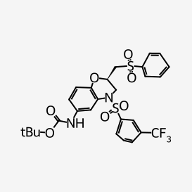 CC(C)(C)OC(=O)Nc1ccc2c(c1)N(S(=O)(=O)c1cccc(C(F)(F)F)c1)C[C@H](CS(=O)(=O)c1ccccc1)O2